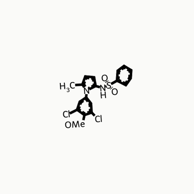 COc1c(Cl)cc(-n2c(C)ccc2NS(=O)(=O)c2ccccc2)cc1Cl